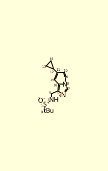 CC(C)(C)[S+]([O-])NCc1ncn2ccc(C3CC3)cc12